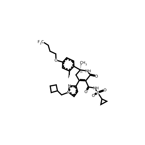 C[C@@]1(c2ccc(OCCCC(F)(F)F)cc2F)CC(c2ccn(CC3CCC3)n2)=C(C(=O)NS(=O)(=O)C2CC2)C(=O)N1